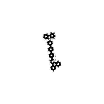 c1ccc2c(c1)c1ccccc1c1nc(-c3ccc(-c4ccc(-c5ccc(-n6c7ccccc7c7ccccc76)cc5)cc4)cc3)cnc21